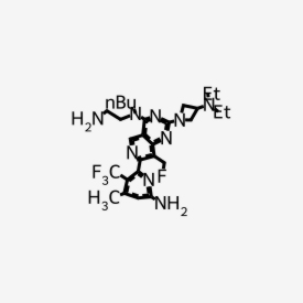 CCCCN(CCN)c1nc(N2CC(N(CC)CC)C2)nc2c(CF)c(-c3nc(N)cc(C)c3C(F)(F)F)ncc12